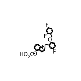 O=C(O)Oc1cccc2c1ccn2Cc1cc(F)ccc1OCc1ccc(F)cc1F